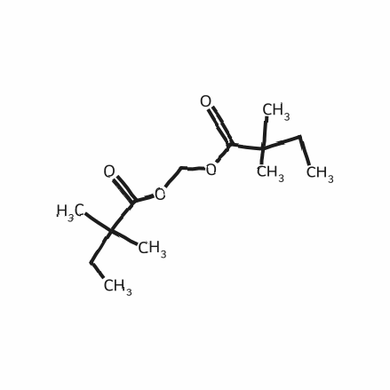 CCC(C)(C)C(=O)OCOC(=O)C(C)(C)CC